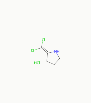 Cl.ClC(Cl)=C1CCCN1